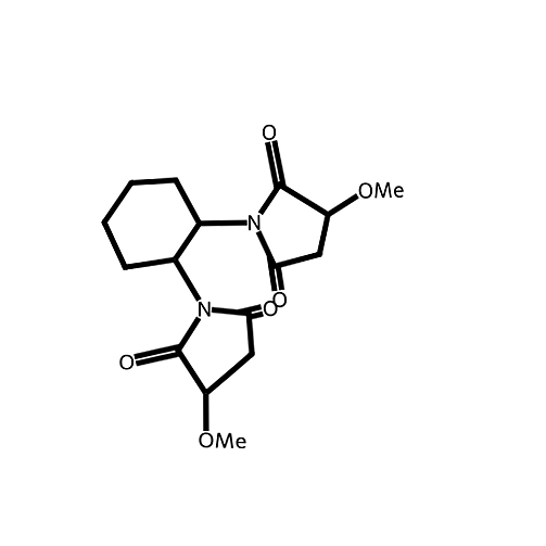 COC1CC(=O)N(C2CCCCC2N2C(=O)CC(OC)C2=O)C1=O